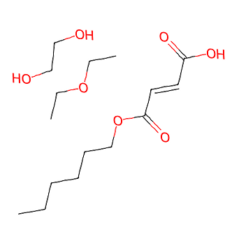 CCCCCCOC(=O)/C=C/C(=O)O.CCOCC.OCCO